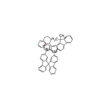 CC1(C)c2ccccc2-c2ccc(N(c3ccccc3)c3ccc4c(c3)C3(c5ccccc5-4)c4ccccc4-c4ccc(N(c5ccccc5)c5ccccc5C5CCCCC5)cc43)cc21